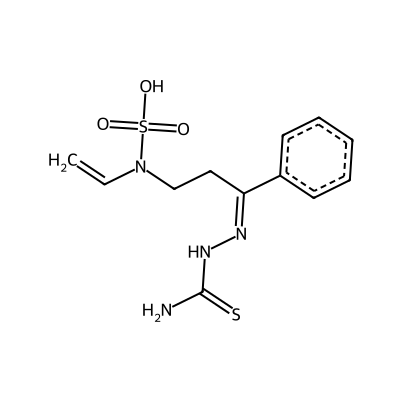 C=CN(CCC(=NNC(N)=S)c1ccccc1)S(=O)(=O)O